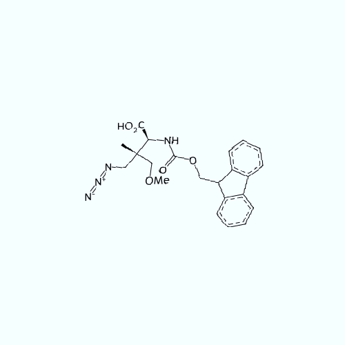 COC[C@](C)(CN=[N+]=[N-])[C@H](NC(=O)OCC1c2ccccc2-c2ccccc21)C(=O)O